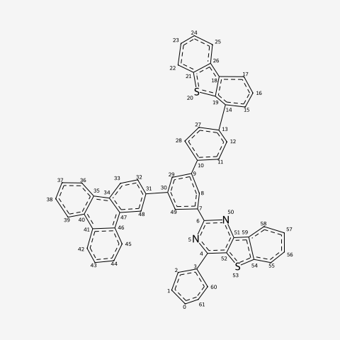 c1ccc(-c2nc(-c3cc(-c4ccc(-c5cccc6c5sc5ccccc56)cc4)cc(-c4ccc5c6ccccc6c6ccccc6c5c4)c3)nc3c2sc2ccccc23)cc1